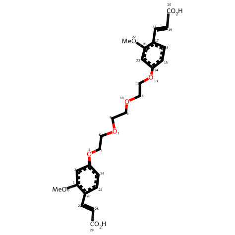 COc1cc(OCCOCCOCCOc2ccc(/C=C/C(=O)O)c(OC)c2)ccc1/C=C/C(=O)O